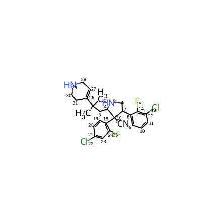 CC(C)(CC1NCC(c2cccc(Cl)c2F)C1(C#N)c1ccc(Cl)cc1F)C1=CCNCC1